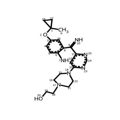 CC1(Oc2ccc(N)c(C(=N)c3cc(N4CCN(CCO)CC4)ncn3)c2)CC1